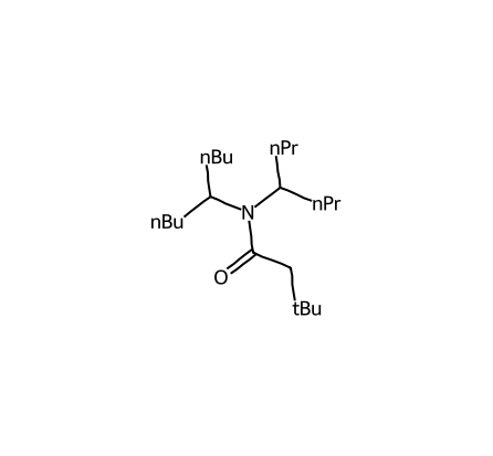 CCCCC(CCCC)N(C(=O)CC(C)(C)C)C(CCC)CCC